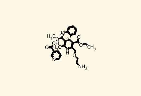 CCOC(=O)C1=C(COCCN)NC(C)=C(C(=O)OC)[C@@H]1c1ccccc1Cl.O=C(O)c1cccnc1